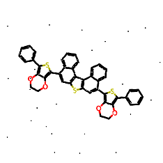 c1ccc(-c2sc(-c3cc4sc5cc(-c6sc(-c7ccccc7)c7c6OCCO7)c6ccccc6c5c4c4ccccc34)c3c2OCCO3)cc1